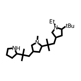 CCN1CC(CC(C)(C)C2CC(CC(C)(C)C3CCCN3)CN2C)CC1C(C)(C)C